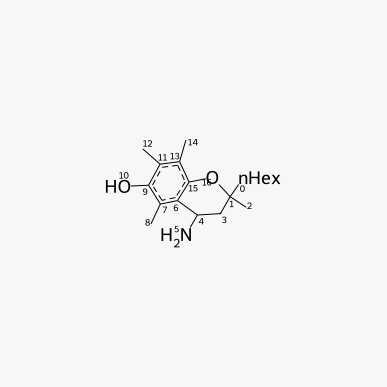 CCCCCCC1(C)CC(N)c2c(C)c(O)c(C)c(C)c2O1